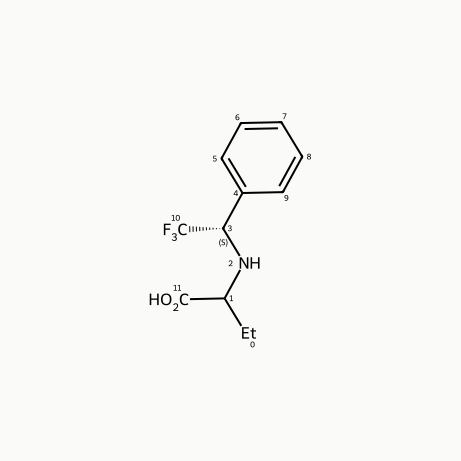 CCC(N[C@@H](c1ccccc1)C(F)(F)F)C(=O)O